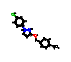 O=[N+]([O-])c1ccc(COc2ccn(-c3ccc(Cl)cc3)n2)cc1